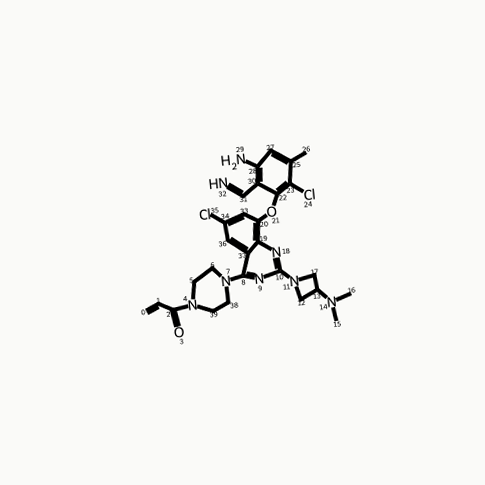 C=CC(=O)N1CCN(c2nc(N3CC(N(C)C)C3)nc3c(Oc4c(Cl)c(C)cc(N)c4C=N)cc(Cl)cc23)CC1